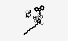 C=CC(=O)OC(C)(C)C.CCCCCCCCCCCN1C(=O)C[C@H](NC(=O)OCC2c3ccccc3-c3ccccc32)C1=O